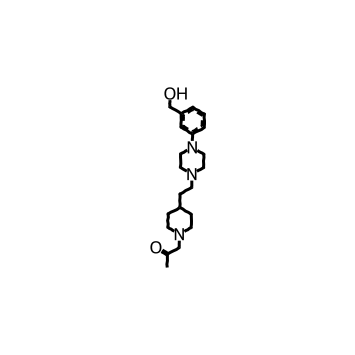 CC(=O)CN1CCC(CCN2CCN(c3cccc(CO)c3)CC2)CC1